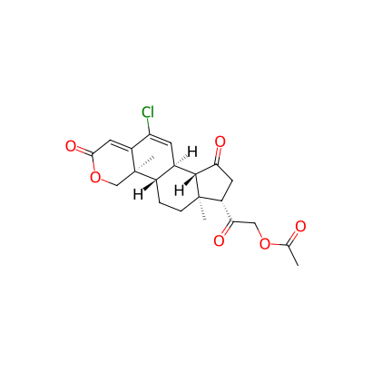 CC(=O)OCC(=O)[C@H]1CC(=O)[C@H]2[C@@H]3C=C(Cl)C4=CC(=O)OC[C@]4(C)[C@H]3CC[C@]12C